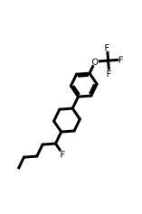 CCCCC(F)C1CCC(c2ccc(OC(F)(F)F)cc2)CC1